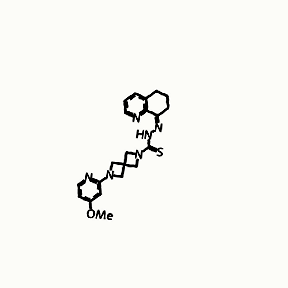 COc1ccnc(N2CC3(CN(C(=S)N/N=C4/CCCc5cccnc54)C3)C2)c1